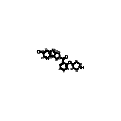 O=C(c1ccccc1OC1CCNCC1)N1Cc2nn3cc(Cl)cnc3c2C1